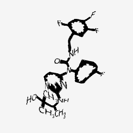 CC(Nc1nccc(N(C(=O)NCc2cc(F)c(F)cc2F)c2ccc(F)cc2)n1)C(C)(C)O